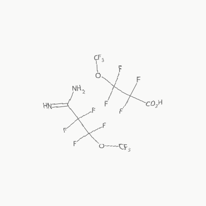 N=C(N)C(F)(F)C(F)(F)OC(F)(F)F.O=C(O)C(F)(F)C(F)(F)OC(F)(F)F